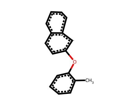 Cc1ccccc1Oc1[c]c2ccccc2cc1